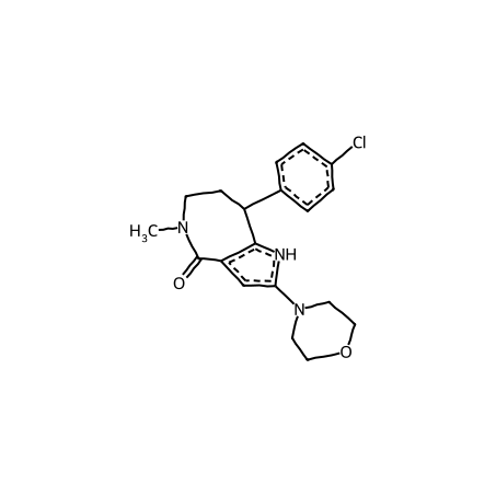 CN1CCC(c2ccc(Cl)cc2)c2[nH]c(N3CCOCC3)cc2C1=O